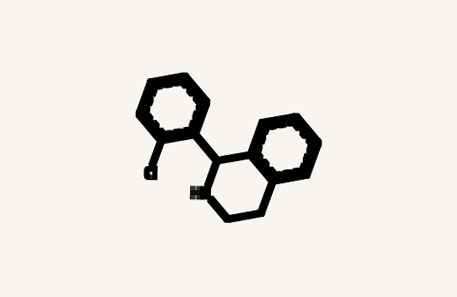 Clc1ccccc1C1NCCc2ccccc21